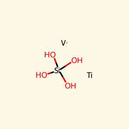 O[Si](O)(O)O.[Ti].[V]